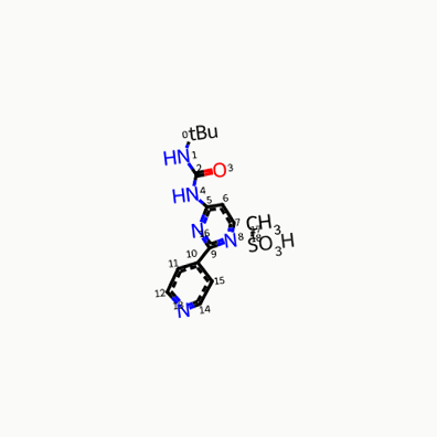 CC(C)(C)NC(=O)Nc1ccnc(-c2ccncc2)n1.CS(=O)(=O)O